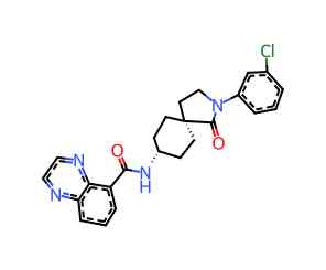 O=C(N[C@H]1CC[C@@]2(CCN(c3cccc(Cl)c3)C2=O)CC1)c1cccc2nccnc12